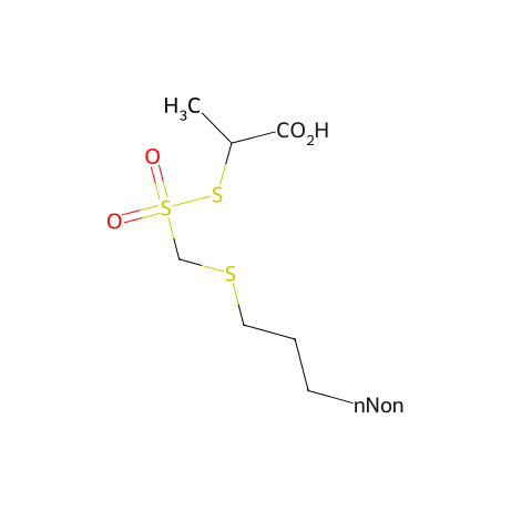 CCCCCCCCCCCCSCS(=O)(=O)SC(C)C(=O)O